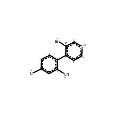 N#Cc1cc(Cl)ccc1-c1ccncc1Br